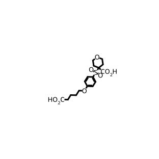 O=C(O)CCCCOc1ccc(S(=O)(=O)C2(C(=O)O)CCOCC2)cc1